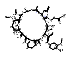 C=CC[C@@H]1/C=C(\C)C[C@H](C)C[C@H](OC)[C@H]2O[C@@](O)(C(=O)C(=O)N3CCCC[C@H]3C(=O)O[C@H](/C(C)=C/[C@@H]3CC[C@@H](O)[C@H](OC)C3)[C@H](C)[C@@H](O)C/C1=N\OCC(=O)O)[C@H](C)C[C@@H]2OC